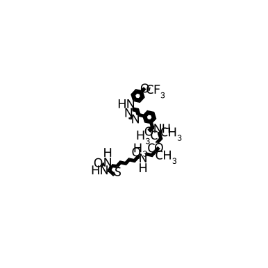 CC(C)(CCOC(C)(C)CCNC(=O)CCCCC1SCC2NC(=O)NC21)NC(=O)c1cccc(-c2cc(Nc3ccc(OC(F)(F)F)cc3)ncn2)c1